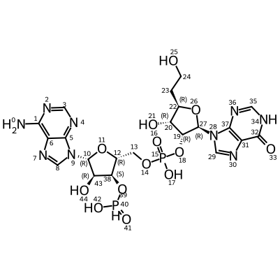 Nc1ncnc2c1ncn2[C@@H]1O[C@H](COP(=O)(O)O[C@@H]2[C@H](O)[C@@H](CCO)O[C@H]2n2cnc3c(=O)[nH]cnc32)[C@@H](O[PH](=O)O)[C@H]1O